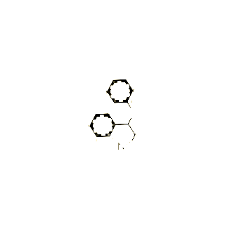 N#CCC(Oc1ccccc1)c1ccccc1